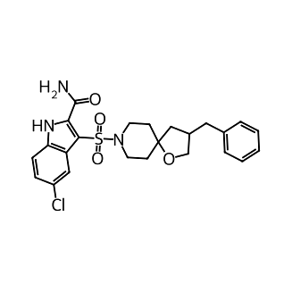 NC(=O)c1[nH]c2ccc(Cl)cc2c1S(=O)(=O)N1CCC2(CC1)CC(Cc1ccccc1)CO2